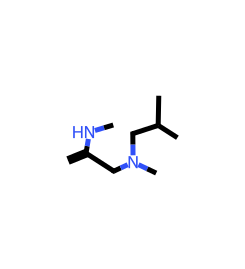 C=C(CN(C)CC(C)C)NC